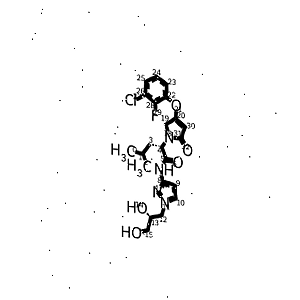 CC(C)C[C@@H](C(=O)Nc1ccn(C[C@@H](O)CO)n1)N1CC(Oc2cccc(Cl)c2F)=CC1=O